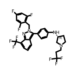 Fc1cc(F)c(Cn2nc3c(C(F)(F)F)cccc3c2-c2ccc(N[C@@H]3CCN(CCC(F)(F)F)C3)cc2)c(F)c1